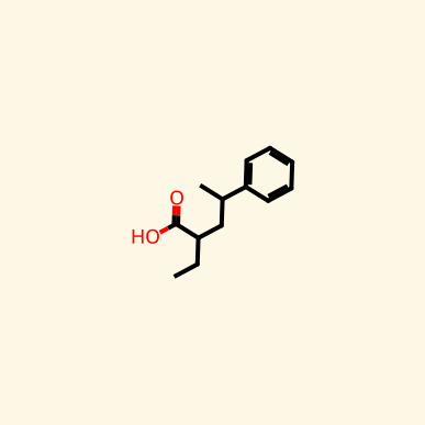 CCC(CC(C)c1ccccc1)C(=O)O